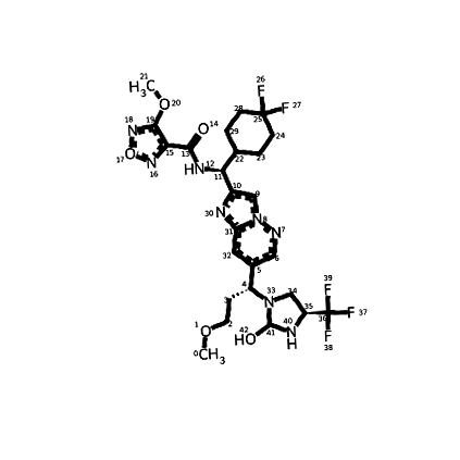 COCC[C@H](c1cnn2cc([C@@H](NC(=O)c3nonc3OC)C3CCC(F)(F)CC3)nc2c1)N1C[C@@H](C(F)(F)F)NC1O